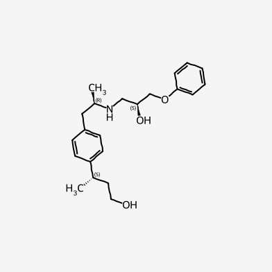 C[C@H](Cc1ccc([C@@H](C)CCO)cc1)NC[C@H](O)COc1ccccc1